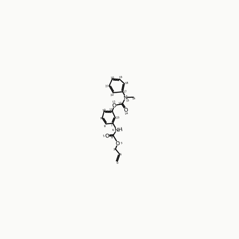 C=CCOC(=O)Nc1cccc(OC(=O)N(C)c2ccccc2)c1